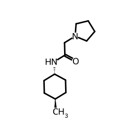 C[C@H]1CC[C@H](NC(=O)CN2CCCC2)CC1